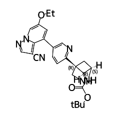 CCOc1cc(-c2ccc([C@@]34CNC[C@H](C3)[C@H]4NC(=O)OC(C)(C)C)nc2)c2c(C#N)cnn2c1